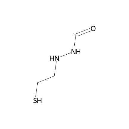 O=[C]NNCCS